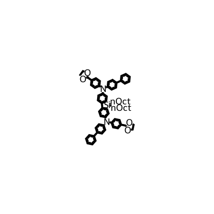 CCCCCCCC[Si]1(CCCCCCCC)c2cc(N(c3ccc(-c4ccccc4)cc3)c3ccc(C4OCCO4)cc3)ccc2-c2ccc(N(c3ccc(-c4ccccc4)cc3)c3ccc(C4OCCO4)cc3)cc21